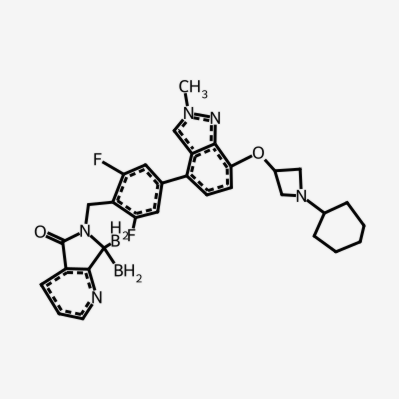 BC1(B)c2ncccc2C(=O)N1Cc1c(F)cc(-c2ccc(OC3CN(C4CCCCC4)C3)c3nn(C)cc23)cc1F